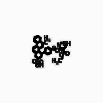 CCOC(=O)C1=CN=CNC1.COc1ccc(C2CC(S(=O)(=O)O)Cc3ccc4c(cc(C)c5ccccc54)c32)cc1